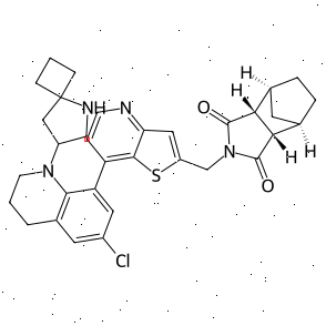 O=C1[C@@H]2[C@H]3CC[C@H](C3)[C@@H]2C(=O)N1Cc1cc2nccc(-c3cc(Cl)cc4c3N(C3CNC5(CCC5)C3)CCC4)c2s1